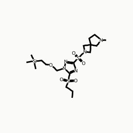 CCCS(=O)(=O)c1nc(S(=O)(=O)N2CC3(CCN(C)C3)C2)nn1COCC[Si](C)(C)C